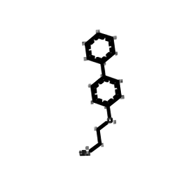 CC(C)(C)CCOc1ccc(-c2ccccc2)cc1